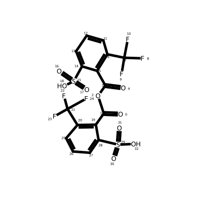 O=C(OC(=O)c1c(C(F)(F)F)cccc1S(=O)(=O)O)c1c(C(F)(F)F)cccc1S(=O)(=O)O